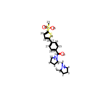 C[C@@H]1CCCN1C[C@@H]1CCCN1C(=O)c1ccc(-c2ccc(S(C)(=O)=O)s2)cc1